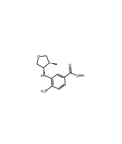 COC(=O)c1ccc(N)c(N[C@H]2COC[C@H]2C)c1